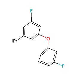 CC(C)c1cc(F)cc(Oc2cccc(F)c2)c1